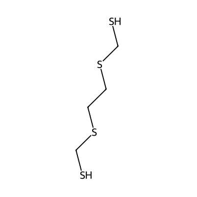 SCSCCSCS